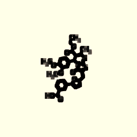 CCOC(=O)C1=C(C)N=c2s/c(=C/c3ccc(-c4cccc(C(=O)O)c4)o3)c(=O)n2C1c1ccc(OC)c(OC)c1